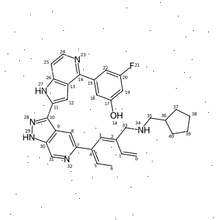 C=C/C(=C\C(=C/C)c1cc2c(-c3cc4c(-c5cc(O)cc(F)c5)nccc4[nH]3)n[nH]c2cn1)CNCC1CCCC1